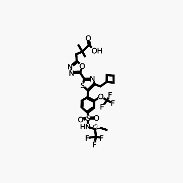 CC[C@H](NS(=O)(=O)c1ccc(-c2sc(-c3nnc(CC(C)(C)C(=O)O)o3)nc2CC2CCC2)c(OC(F)(F)F)c1)C(F)(F)F